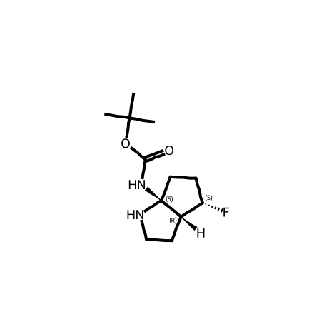 CC(C)(C)OC(=O)N[C@@]12CC[C@H](F)[C@@H]1CCN2